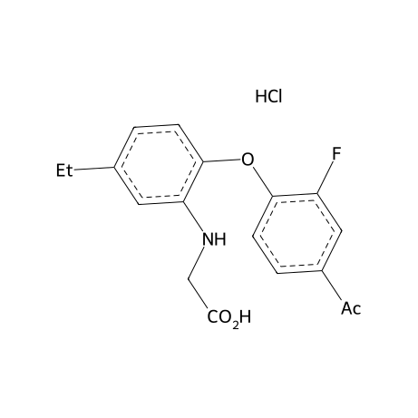 CCc1ccc(Oc2ccc(C(C)=O)cc2F)c(NCC(=O)O)c1.Cl